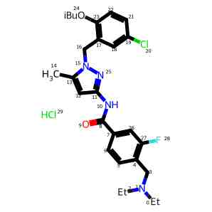 CCN(CC)Cc1ccc(C(=O)Nc2cc(C)n(Cc3cc(Cl)ccc3OCC(C)C)n2)cc1F.Cl